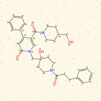 O=C(CCc1ccccc1)N1CCC(O)(Cn2cc(C(=O)N3CCC(CO)CC3)c(-c3ccccc3)cc2=O)CC1